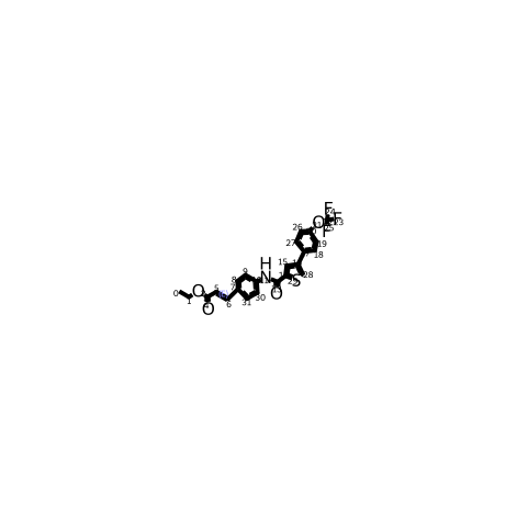 CCOC(=O)/C=C/c1ccc(NC(=O)c2cc(-c3ccc(OC(F)(F)F)cc3)cs2)cc1